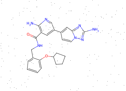 Nc1nc2cc(-c3cnc(N)c(C(=O)NCc4ccccc4OC4CCCC4)c3)ccn2n1